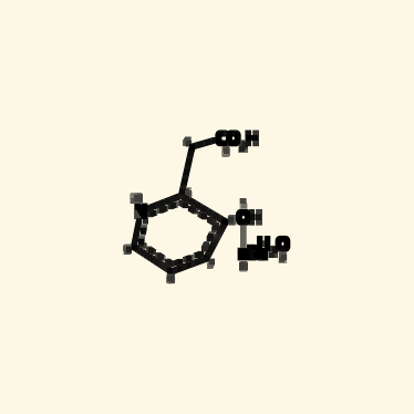 CCCCO.O.O=C(O)Cc1ccccn1